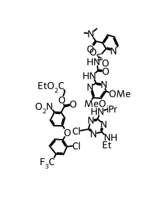 CCNc1nc(Cl)nc(NC(C)C)n1.CCOC(=O)COC(=O)c1cc(Oc2ccc(C(F)(F)F)cc2Cl)ccc1[N+](=O)[O-].COc1cc(OC)nc(NC(=O)NS(=O)(=O)c2ncccc2C(=O)N(C)C)n1